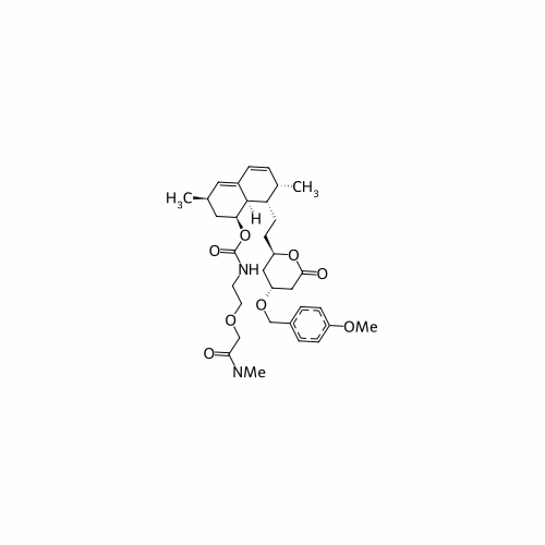 CNC(=O)COCCNC(=O)O[C@H]1C[C@@H](C)C=C2C=C[C@H](C)[C@H](CC[C@@H]3C[C@@H](OCc4ccc(OC)cc4)CC(=O)O3)[C@H]21